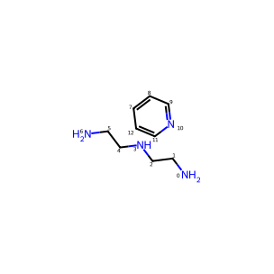 NCCNCCN.c1ccncc1